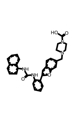 O=C(Nc1ccccc1-c1cc2ccc(CN3CCN(C(=O)O)CC3)cc2o1)Nc1cccc2ccccc12